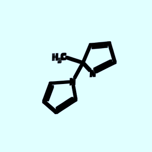 CC1(n2cccc2)C=CC=N1